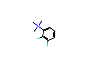 C[N+](C)(C)c1cccc(F)c1F